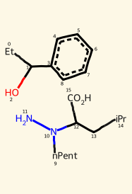 CCC(O)c1ccccc1.CCCCCN(N)C(CC(C)C)C(=O)O